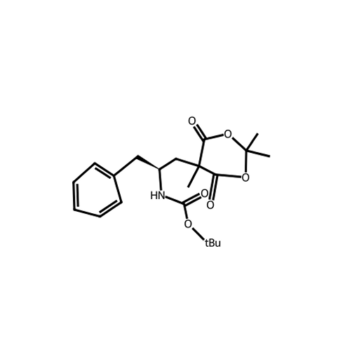 CC(C)(C)OC(=O)N[C@@H](Cc1ccccc1)CC1(C)C(=O)OC(C)(C)OC1=O